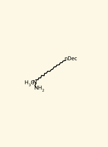 CCCCCCCCCCCCCCCCCCCCCCCCCCCCCCN(C)CCN